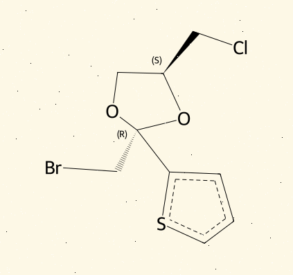 ClC[C@@H]1CO[C@](CBr)(c2cccs2)O1